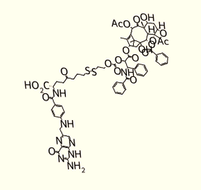 CC(=O)O[C@H]1C(=O)[C@@]2(C)[C@H]([C@H](OC(=O)c3ccccc3)[C@]3(O)CC(OC(=O)[C@H](OC(=O)OCCSSCCCC(=O)CC[C@H](NC(=O)c4ccc(NCc5cnc6[nH]c(N)nc(=O)c6n5)cc4)C(=O)O)[C@@H](NC(=O)c4ccccc4)c4ccccc4)C(C)=C1C3(C)C)[C@]1(OC(C)=O)CO[C@@H]1C[C@@H]2O